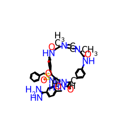 CC1C(=O)Nc2ccc(cc2)C[C@@H](C(=O)NCc2ccc(C(=N)N)cc2)NC(=O)[C@H](NS(=O)(=O)Cc2ccccc2)Cc2ccc(cc2)NC(=O)C(C)N2CCN1CC2